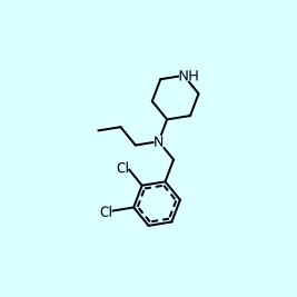 CCCN(Cc1cccc(Cl)c1Cl)C1CCNCC1